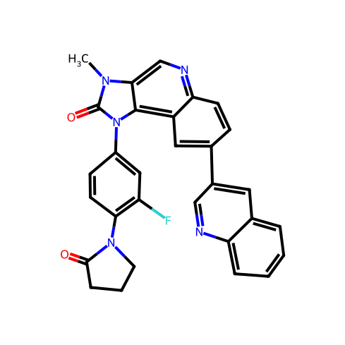 Cn1c(=O)n(-c2ccc(N3CCCC3=O)c(F)c2)c2c3cc(-c4cnc5ccccc5c4)ccc3ncc21